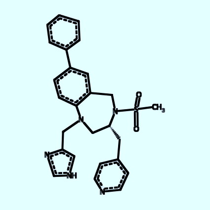 CS(=O)(=O)N1Cc2cc(-c3ccccc3)ccc2N(Cc2c[nH]cn2)C[C@H]1Cc1ccncc1